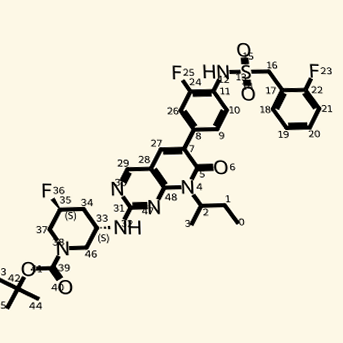 CCC(C)n1c(=O)c(-c2ccc(NS(=O)(=O)Cc3ccccc3F)c(F)c2)cc2cnc(N[C@H]3C[C@H](F)CN(C(=O)OC(C)(C)C)C3)nc21